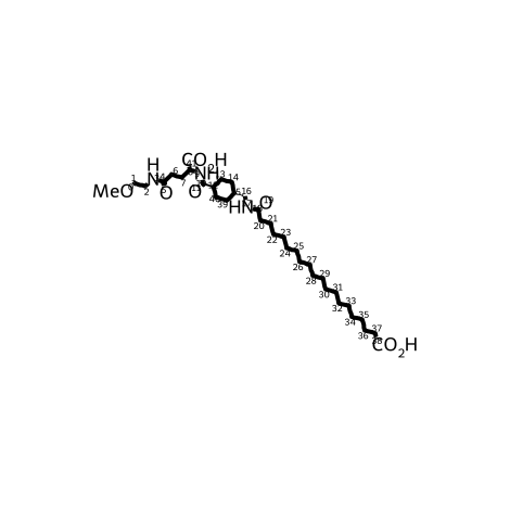 COCCNC(=O)CCC(NC(=O)[C@H]1CC[C@H](CNC(=O)CCCCCCCCCCCCCCCCCCC(=O)O)CC1)C(=O)O